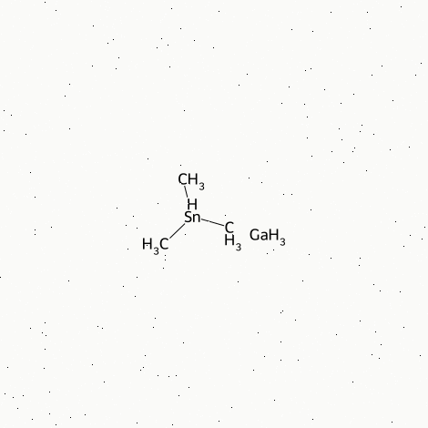 [CH3][SnH]([CH3])[CH3].[GaH3]